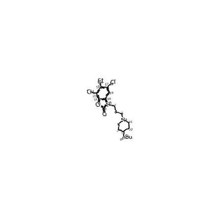 CCCCC1CCN(CCCn2c(=O)oc3c(Cl)c(CC)c(Cl)cc32)CC1